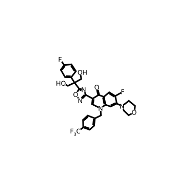 O=c1c(-c2noc(C(CO)(CO)c3ccc(F)cc3)n2)cn(Cc2ccc(C(F)(F)F)cc2)c2cc(N3CCOCC3)c(F)cc12